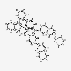 c1ccc(-c2ccc3ccc(N(c4ccc(-c5ccccc5-n5c6ccccc6c6ccccc65)cc4)c4cccc(-c5ccc6ccccc6c5)c4)cc3c2)cc1